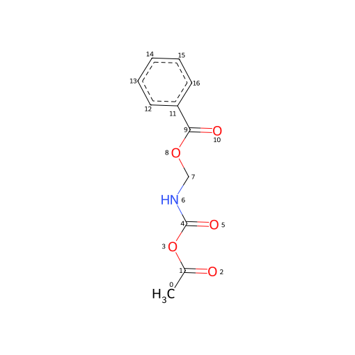 CC(=O)OC(=O)NCOC(=O)c1ccccc1